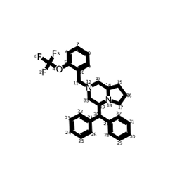 FC(F)(F)Oc1ccccc1CN1CC2CCCN2C(C(c2ccccc2)c2ccccc2)C1